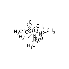 CCON(OC)C(=O)N(OCC)C(CC)[Si](OCC)(OCC)OCC